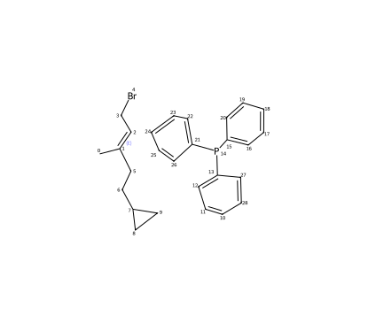 C/C(=C\CBr)CCC1CC1.c1ccc(P(c2ccccc2)c2ccccc2)cc1